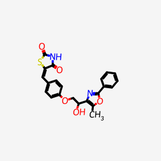 Cc1oc(-c2ccccc2)nc1C(O)COc1ccc(C=C2SC(=O)NC2=O)cc1